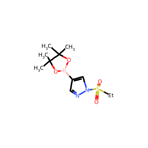 CCS(=O)(=O)n1cc(B2OC(C)(C)C(C)(C)O2)cn1